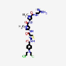 Cn1cc(NC(=O)c2cc(NC(=O)c3csc(NC(=O)c4ccc(N(CCCl)CCCl)cc4)n3)cn2C)cc1C(=O)NCCC(=N)N